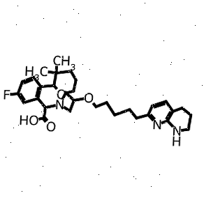 CC1(C)CCCOC1c1ccc(F)cc1C(C(=O)O)N1CC(OCCCCCc2ccc3c(n2)NCCC3)C1